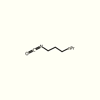 [CH2]CCCCCN=C=O